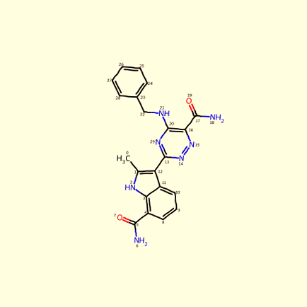 Cc1[nH]c2c(C(N)=O)cccc2c1-c1nnc(C(N)=O)c(NCc2ccccc2)n1